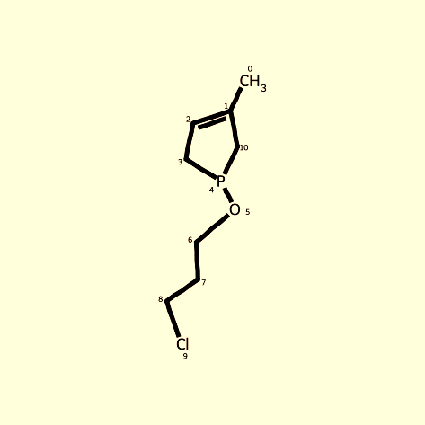 CC1=CCP(OCCCCl)C1